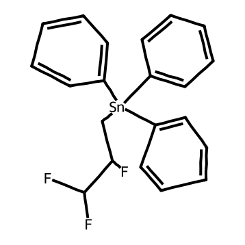 FC(F)C(F)[CH2][Sn]([c]1ccccc1)([c]1ccccc1)[c]1ccccc1